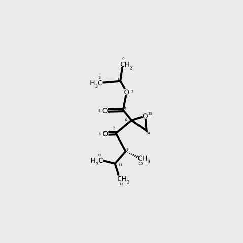 CC(C)OC(=O)C1(C(=O)[C@H](C)C(C)C)CO1